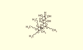 CCCCOC1[C@H](OCCCC)C(C)O[C@@H](OC2C(O)[C@H](OCCCC)OC(CO)[C@H]2O[C@@H]2O[C@@H](CO)[C@H](O)C(O)C2O)[C@H]1OCCCC